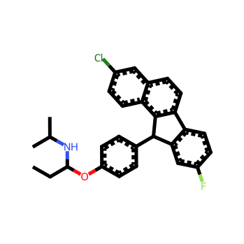 CCC(NC(C)C)Oc1ccc(C2c3cc(F)ccc3-c3ccc4cc(Cl)ccc4c32)cc1